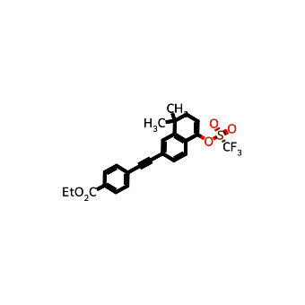 CCOC(=O)c1ccc(C#Cc2ccc3c(c2)C(C)(C)CC=C3OS(=O)(=O)C(F)(F)F)cc1